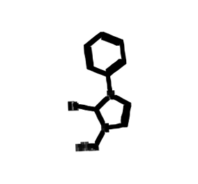 CCCCCCN1C=CN(c2ccccc2)C1CC